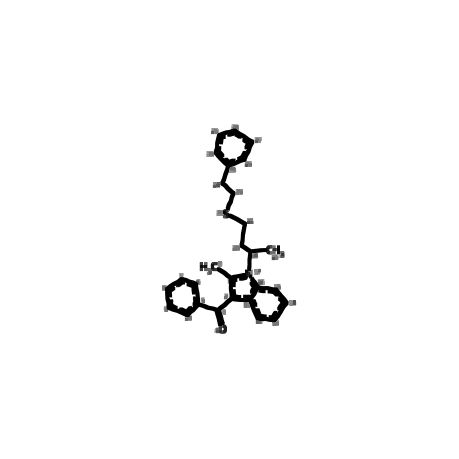 Cc1c(C(=O)c2ccccc2)c2ccccc2n1C(C)CCSCCc1ccccc1